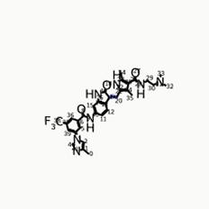 Cc1cn(-c2cc(C(=O)Nc3ccc4c(c3)NC(=O)/C4=C\c3[nH]c(C)c(C(=O)NCCN(C)C)c3C)cc(C(F)(F)F)c2)cn1